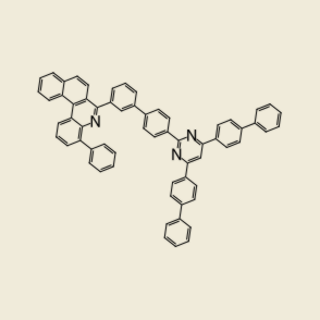 c1ccc(-c2ccc(-c3cc(-c4ccc(-c5ccccc5)cc4)nc(-c4ccc(-c5cccc(-c6nc7c(-c8ccccc8)cccc7c7c6ccc6ccccc67)c5)cc4)n3)cc2)cc1